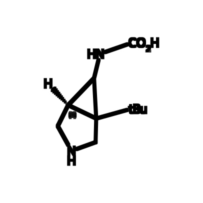 CC(C)(C)C12CNC[C@H]1C2NC(=O)O